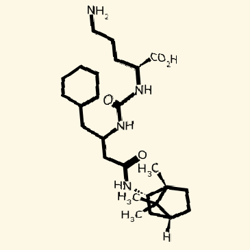 CC1(C)[C@@H]2CC[C@@]1(C)[C@@H](NC(=O)CC(CC1CCCCC1)NC(=O)N[C@@H](CCCN)C(=O)O)C2